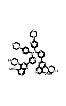 COc1cncc2nc(-c3ccnc(N(c4ccc(N5CCOCC5)nc4)N(c4ccc(N5CCOCC5)nc4)c4cc(-c5nc(N6CCNCC6)c6c(OC)cncc6n5)ccn4)c3)nc(N3CCNCC3)c12